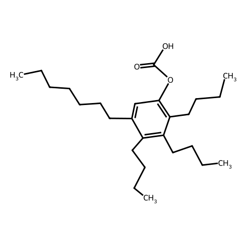 CCCCCCCc1cc(OC(=O)O)c(CCCC)c(CCCC)c1CCCC